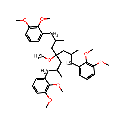 COc1cccc([SiH2]C(C)CC(CC(C)[SiH2]c2cccc(OC)c2OC)(CC(C)[SiH2]c2cccc(OC)c2OC)O[SiH3])c1OC